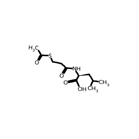 CC(=O)SCCC(=O)N[C@@H](CC(C)C)C(=O)O